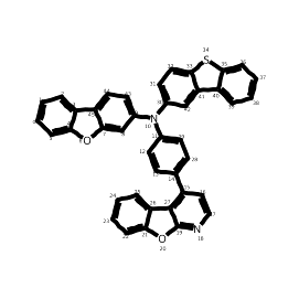 c1ccc2c(c1)oc1cc(N(c3ccc(-c4ccnc5oc6ccccc6c45)cc3)c3ccc4sc5ccccc5c4c3)ccc12